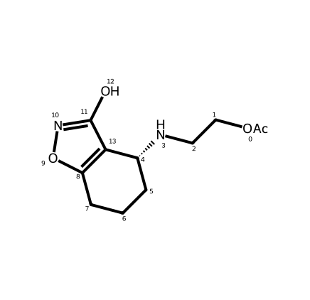 CC(=O)OCCN[C@@H]1CCCc2onc(O)c21